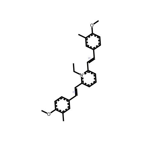 CC[n+]1c(/C=C/c2ccc(OC)c(C)c2)cccc1/C=C/c1ccc(OC)c(C)c1